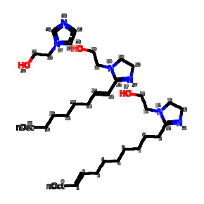 CCCCCCCCC=CCCCCCCCC1=NCCN1CCO.CCCCCCCCCCCCCCCC=CC1=NCCN1CCO.OCCn1ccnc1